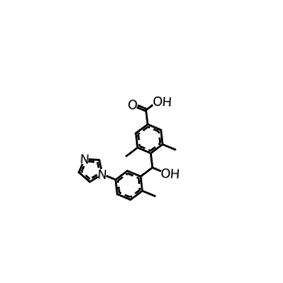 Cc1ccc(-n2ccnc2)cc1C(O)c1c(C)cc(C(=O)O)cc1C